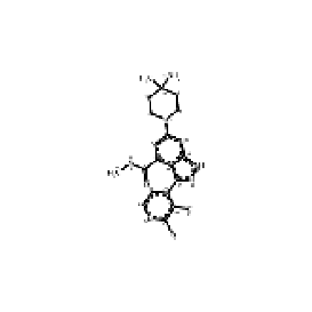 CNC(=O)c1cc(N2CCC(C)(N)CC2)nc2[nH]nc(-c3ccnc(Br)c3Cl)c12